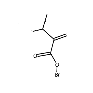 C=C(C(=O)OBr)C(C)C